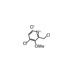 COC1=C(Cl)C=C[N+]=C1CCl.[Cl-]